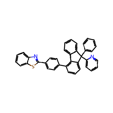 c1ccc(C2(c3ccccn3)c3ccccc3-c3c(-c4ccc(-c5nc6ccccc6s5)cc4)cccc32)cc1